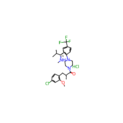 CN[C@H](c1cc(C(F)(F)F)ccc1N1CCN(C(=O)C(C)Cc2ccc(Cl)cc2OC)CC1)C(C)C.Cl